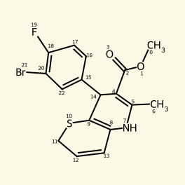 COC(=O)C1=C(C)NC2=C(SCC=C2)C1c1ccc(F)c(Br)c1